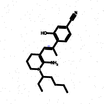 CCCCC(CC)N1CCCC(/C=C(\C)c2ccc(C#N)cc2O)=C1N